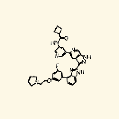 O=C(Nc1cncc(-c2cc3c(-c4nc5c(-c6cc(F)cc(OCCN7CCCC7)c6)cccc5[nH]4)n[nH]c3cn2)c1)C1CCC1